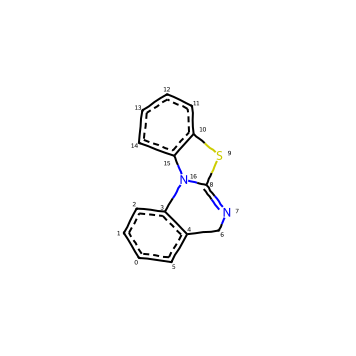 c1ccc2c(c1)CN=C1Sc3ccccc3N12